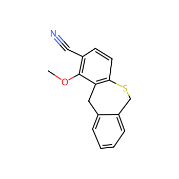 COc1c(C#N)ccc2c1Cc1ccccc1CS2